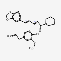 C=CCc1ccc(O)c(OC)c1.O=C(/C=C/C=C/c1ccc2c(c1)OCO2)N1CCCCC1